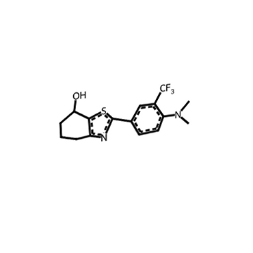 CN(C)c1ccc(-c2nc3c(s2)C(O)CCC3)cc1C(F)(F)F